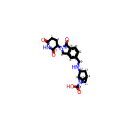 O=C1CCC(N2Cc3cc(CNC4CC5CC4N(C(=O)O)C5)ccc3C2=O)C(=O)N1